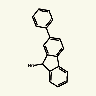 OC1c2ccccc2-c2ccc(-c3ccccc3)cc21